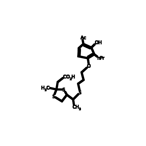 CCCc1c(OCCCSC(C)C2CSC(C)(CC(=O)O)S2)ccc(C(C)=O)c1O